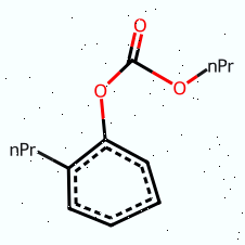 CCCOC(=O)Oc1ccccc1CCC